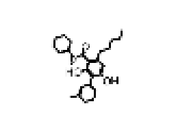 CCCCCc1cc(O)c(C2C=C(C)CCC2)c(O)c1C(=O)N(C)C1CCCCC1